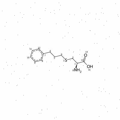 N[C@@H](CSCCCc1ccccc1)C(=O)O